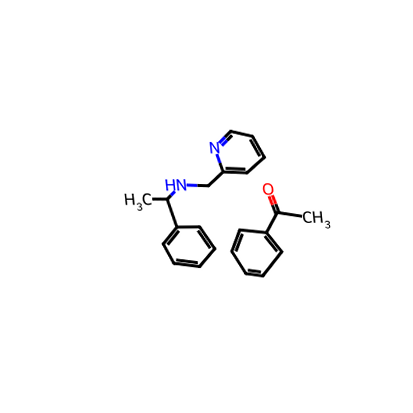 CC(=O)c1ccccc1.CC(NCc1ccccn1)c1ccccc1